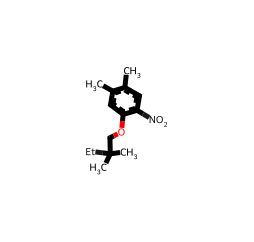 CCC(C)(C)COc1cc(C)c(C)cc1[N+](=O)[O-]